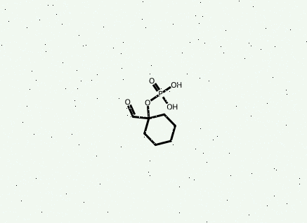 O=[C]C1(OP(=O)(O)O)CCCCC1